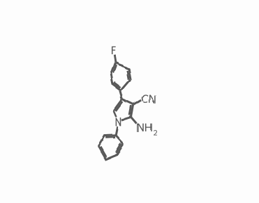 N#Cc1c(-c2ccc(F)cc2)cn(-c2ccccc2)c1N